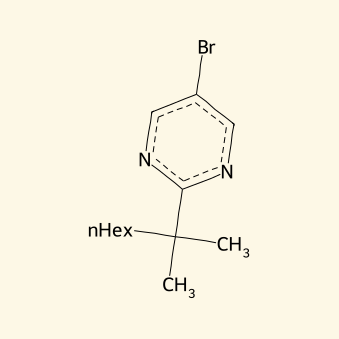 CCCCCCC(C)(C)c1ncc(Br)cn1